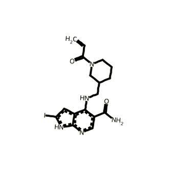 C=CC(=O)N1CCCC(CNc2c(C(N)=O)cnc3[nH]c(I)cc23)C1